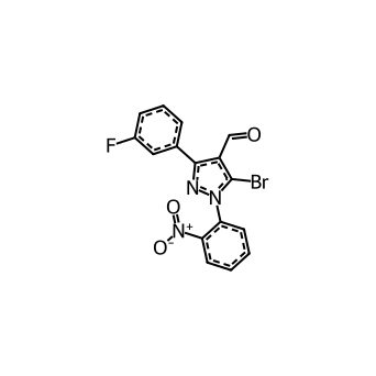 O=Cc1c(-c2cccc(F)c2)nn(-c2ccccc2[N+](=O)[O-])c1Br